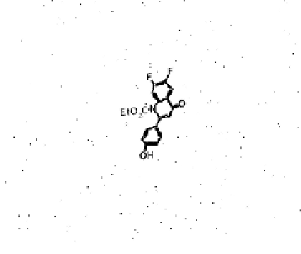 CCOC(=O)n1c(-c2ccc(O)cc2)cc(=O)c2cc(F)c(F)cc21